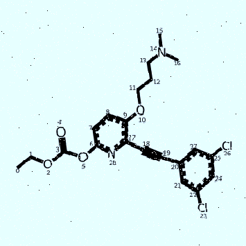 CCOC(=O)Oc1ccc(OCCCN(C)C)c(C#Cc2cc(Cl)cc(Cl)c2)n1